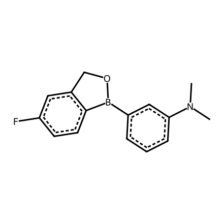 CN(C)c1cccc(B2OCc3cc(F)ccc32)c1